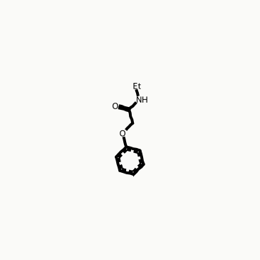 CCNC(=O)COc1cc[c]cc1